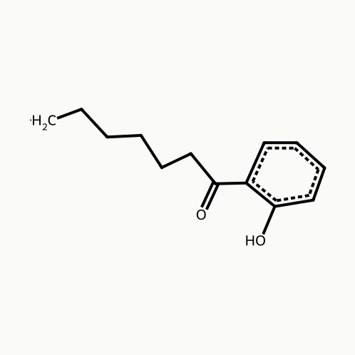 [CH2]CCCCCC(=O)c1ccccc1O